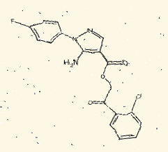 Nc1c(C(=O)OCC(=O)c2ccccc2Cl)cnn1-c1ccc(F)cc1